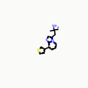 CC(C)(N)Cc1cnc2c(-c3ccsc3)cccn12